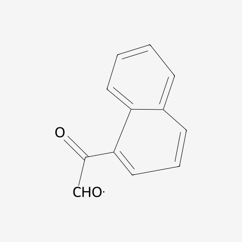 O=[C]C(=O)c1cccc2ccccc12